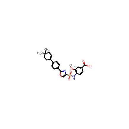 COc1cc(C(=O)O)ccc1NS(=O)(=O)c1coc(-c2ccc(C3=CCC(C)(C)CC3)cc2)n1